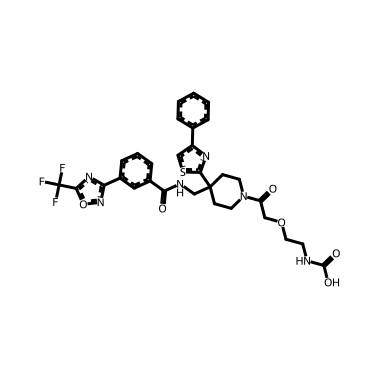 O=C(O)NCCOCC(=O)N1CCC(CNC(=O)c2cccc(-c3noc(C(F)(F)F)n3)c2)(c2nc(-c3ccccc3)cs2)CC1